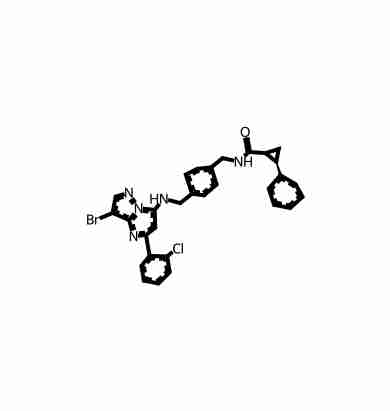 O=C(NCc1ccc(CNc2cc(-c3ccccc3Cl)nc3c(Br)cnn23)cc1)C1C[C@H]1c1ccccc1